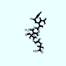 C=C(C(/C=C(/F)C#CC)=C(/C)C(C)C)c1nc(C)c(C(C)(C=O)C(=C)S/C=C(\C)CC(C)(C)C(=O)O)c(N)n1